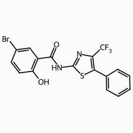 O=C(Nc1nc(C(F)(F)F)c(-c2ccccc2)s1)c1cc(Br)ccc1O